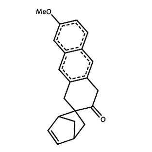 COc1ccc2cc3c(cc2c1)CC1(CC2C=CC1C2)C(=O)C3